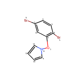 Brc1ccc(Br)c(On2c[c]cc2)c1